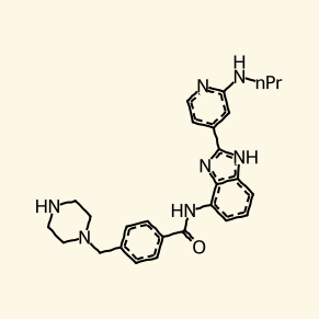 CCCNc1cc(-c2nc3c(NC(=O)c4ccc(CN5CCNCC5)cc4)cccc3[nH]2)ccn1